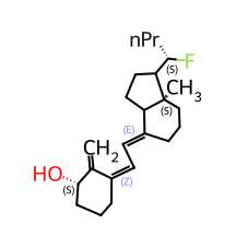 C=C1/C(=C\C=C2/CCC[C@@]3(C)C2CCC3[C@@H](F)CCC)CCC[C@@H]1O